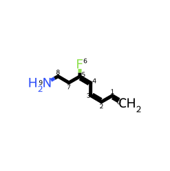 C=C/C=C\C=C(\F)CCN